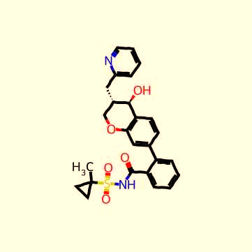 CC1(S(=O)(=O)NC(=O)c2ccccc2-c2ccc3c(c2)OC[C@H](Cc2ccccn2)[C@H]3O)CC1